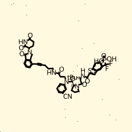 CC(C)(C)[C@H](NC(=O)c1cc2cc(C(F)(F)P(=O)(O)O)ccc2s1)C(=O)N1CCC[C@H]1C(=O)N(CCC(=O)NCCCC#Cc1cccc2c1CN(C1CCC(=O)NC1=O)C2=O)c1cccc(C#N)c1